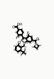 O=C(O)c1ccc(-c2nn(Cc3c(Cl)cccc3C(F)(F)F)c3cc(C(=O)N4CCC4)cc(F)c23)c(F)c1